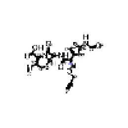 C#CCO/N=C(\C(=O)NC1C(=O)N2C(C(=O)O)=C(OC)CS[C@H]12)c1csc(NC=O)n1